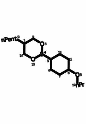 CCCCCC1COB(C2CCC(OCCC)CC2)OC1